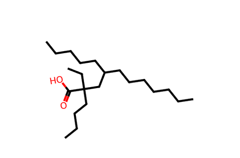 CCCCCCCC(CCCCC)CC(CC)(CCCC)C(=O)O